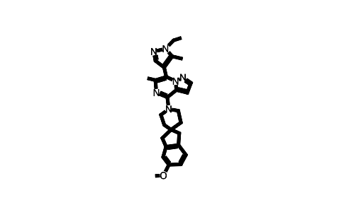 CCn1ncc(-c2c(C)nc(N3CCC4(CC3)Cc3ccc(OC)cc3C4)c3ccnn23)c1C